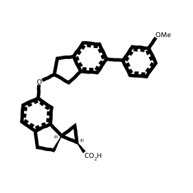 COc1cccc(-c2ccc3c(c2)CC(Oc2ccc4c(c2)[C@]2(CC4)C[C@H]2C(=O)O)C3)c1